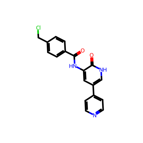 O=C(Nc1cc(-c2ccncc2)c[nH]c1=O)c1ccc(CCl)cc1